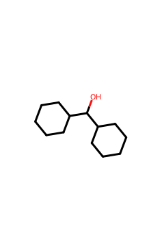 OC(C1CCCCC1)C1CCCCC1